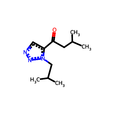 CC(C)CC(=O)c1cnnn1CC(C)C